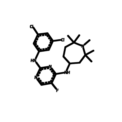 CN1C(C)(C)CCC(Nc2nc(Nc3cc(Cl)cc(Cl)c3)ncc2F)CC1(C)C